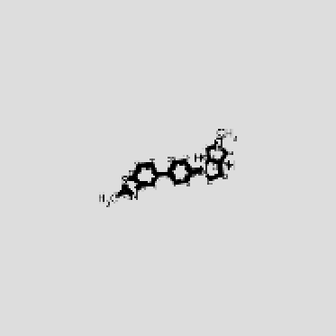 Cc1nc2cc(-c3ccc(N4CC[C@@H]5CN(C)C[C@@H]54)cc3)ccc2s1